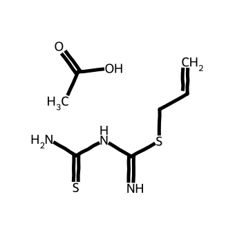 C=CCSC(=N)NC(N)=S.CC(=O)O